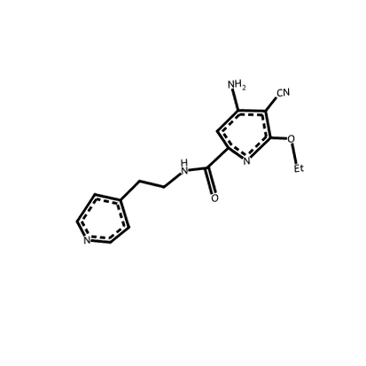 CCOc1nc(C(=O)NCCc2ccncc2)cc(N)c1C#N